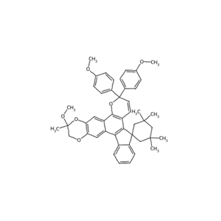 COc1ccc(C2(c3ccc(OC)cc3)C=Cc3c4c(c5cc6c(cc5c3O2)OC(C)(OC)CO6)-c2ccccc2C42CC(C)(C)CC(C)(C)C2)cc1